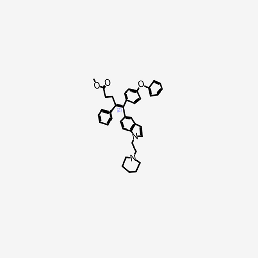 COC(=O)CC/C(=C(\c1ccc(Oc2ccccc2)cc1)c1ccc2c(ccn2CCN2CCCCC2)c1)c1ccccc1